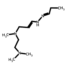 CC/C=N/N/C=C/CN(C)CCN(C)C